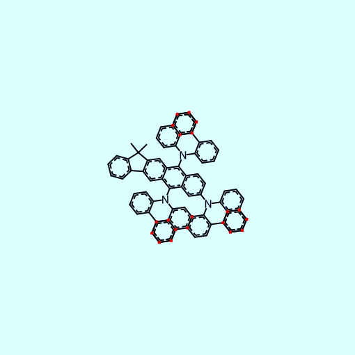 CC1(C)c2ccccc2-c2cc3c(N(c4ccccc4-c4ccccc4)c4cccc5ccccc45)c4cc(N(c5ccccc5-c5ccccc5)c5cccc6ccccc56)ccc4c(N(c4ccccc4-c4ccccc4)c4cccc5ccccc45)c3cc21